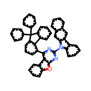 c1ccc(C2(c3ccccc3)c3ccccc3-c3c(-c4nc(-n5c6ccccc6c6cc7ccccc7cc65)nc5oc6ccccc6c45)cccc32)cc1